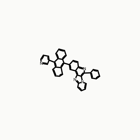 c1ccc(-c2nc3ccc(-c4c5ccccc5c(-c5cccnc5)c5ccccc45)cc3c3nc4ccccn4c23)cc1